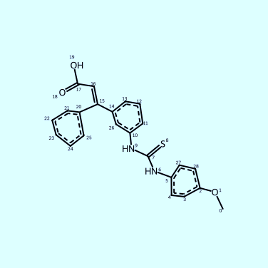 COc1ccc(NC(=S)Nc2cccc(C(=CC(=O)O)c3ccccc3)c2)cc1